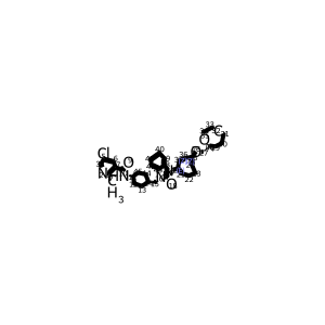 Cc1ncc(Cl)cc1C(=O)N[C@H]1CC[C@H](Cn2c(=O)n(C3=C/CC/C=C(OC[C@H]4CCCCCCO4)/C=C\3)c3ccccc32)CC1